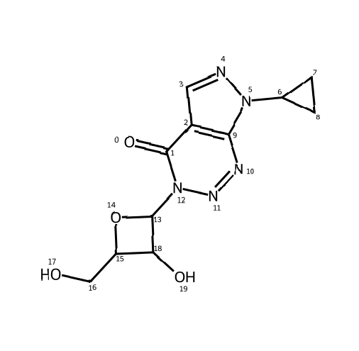 O=c1c2cnn(C3CC3)c2nnn1C1OC(CO)C1O